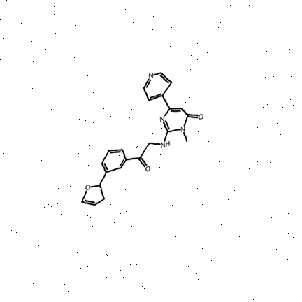 Cn1c(NCC(=O)c2cccc(C3CC=CO3)c2)nc(-c2ccncc2)cc1=O